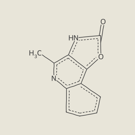 Cc1nc2ccccc2c2oc(=O)[nH]c12